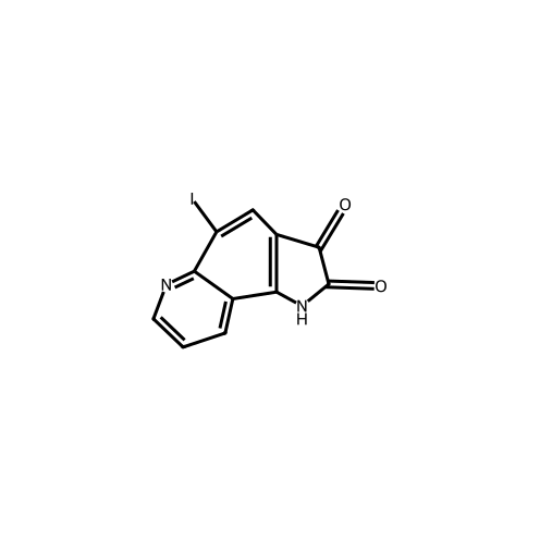 O=C1Nc2c(cc(I)c3ncccc23)C1=O